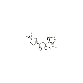 CCn1ccnc1C(O)CC(=O)N1CCC(N(C)C)C1